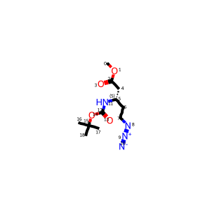 COC(=O)C[C@H](CCN=[N+]=[N-])NC(=O)OC(C)(C)C